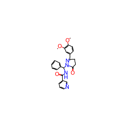 COc1ccc(C2=NN(C(NC(=O)c3cccnc3)c3ccccc3)C(=O)CC2)cc1OC